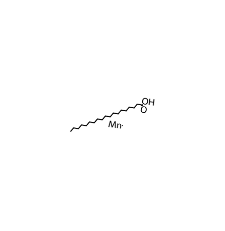 CCCCCCCCCCCCCCCCCCC(=O)O.[Mn]